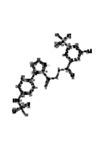 C=C(CCC(=O)c1cc(Cl)cc(S(C)(=O)=O)c1)c1ncnn1-c1ccc(NS(C)(=O)=O)cn1